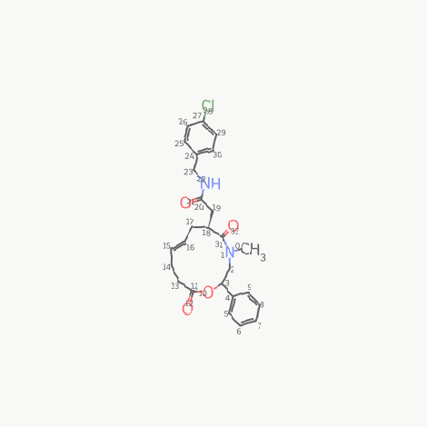 CN1CC(c2ccccc2)OC(=O)CC/C=C/C[C@@H](CC(=O)NCc2ccc(Cl)cc2)C1=O